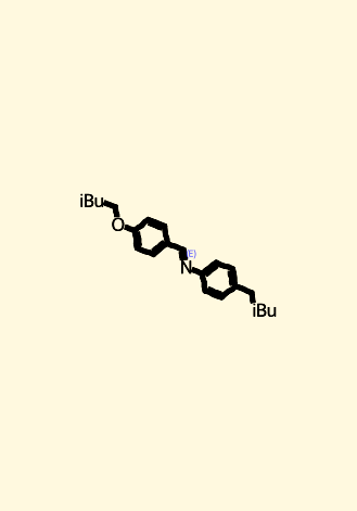 CCC(C)COc1ccc(/C=N/c2ccc(CC(C)CC)cc2)cc1